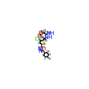 Cc1ccc(-c2nnc(-c3cc(Cl)c([C@]4(C)CS(=O)(=O)C(C)(C)C(=N)N4)s3)o2)cc1